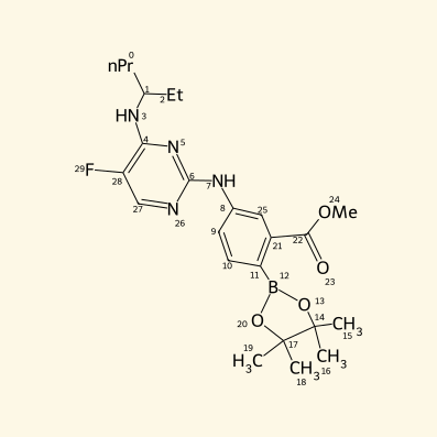 CCCC(CC)Nc1nc(Nc2ccc(B3OC(C)(C)C(C)(C)O3)c(C(=O)OC)c2)ncc1F